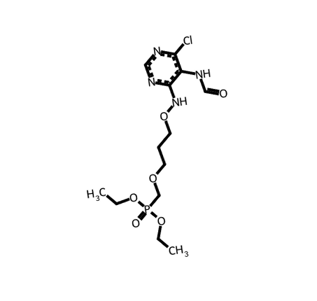 CCOP(=O)(COCCCONc1ncnc(Cl)c1NC=O)OCC